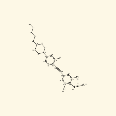 CCCCCC1CCC(c2ccc(C#Cc3cc(Cl)c(N=C=S)c(Cl)c3)c(C)c2)CC1